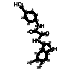 C#Cc1ccc(NC(=O)C(=O)Nc2c[nH]c3cc(F)c(F)cc23)cc1